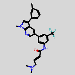 Cc1cccc(-c2cn(C)c3ncc(-c4cc(NC(=O)/C=C/CN(C)C)cc(C(F)(F)F)c4)cc23)c1